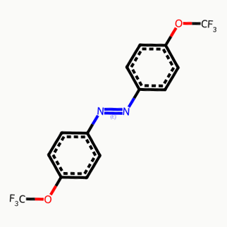 FC(F)(F)Oc1ccc(/N=N/c2ccc(OC(F)(F)F)cc2)cc1